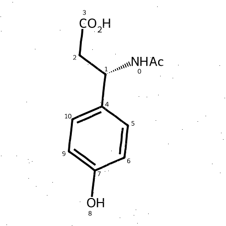 CC(=O)N[C@@H](CC(=O)O)c1ccc(O)cc1